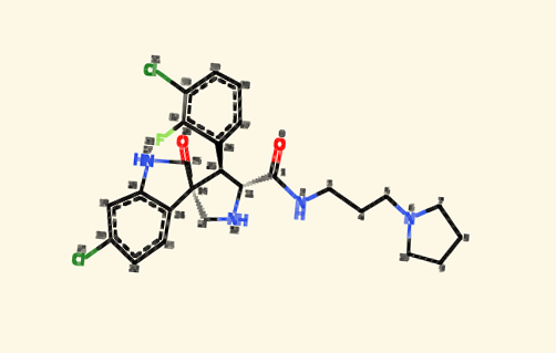 O=C(NCCCN1CCCC1)[C@@H]1NC[C@]2(C(=O)Nc3cc(Cl)ccc32)[C@H]1c1cccc(Cl)c1F